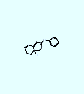 C1=CC2=CC(Oc3ccccc3)=NC[C@@H]2CC1